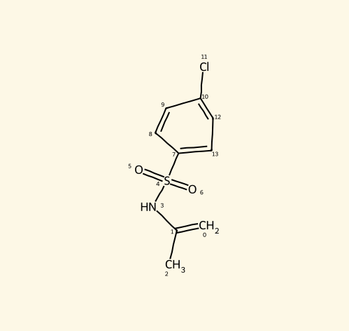 C=C(C)NS(=O)(=O)c1ccc(Cl)cc1